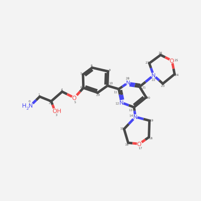 NCC(O)COc1cccc(-c2nc(N3CCOCC3)cc(N3CCOCC3)n2)c1